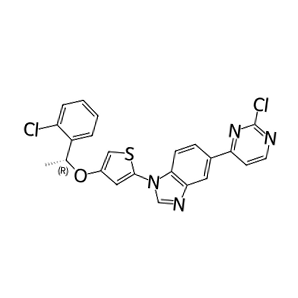 C[C@@H](Oc1csc(-n2cnc3cc(-c4ccnc(Cl)n4)ccc32)c1)c1ccccc1Cl